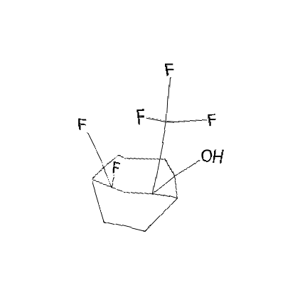 OC1(C(F)(F)F)C2CCC(CC2)C1(F)F